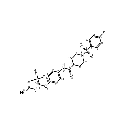 Cc1ccc(S(=O)(=O)N2CCC(C(=O)Nc3ccc(O[C@H](CCO)C(F)(F)F)cc3)CC2)cc1